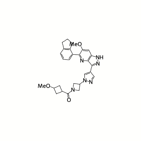 COc1cc2[nH]nc(-c3cnn(C4CN(C(=O)C5CC(OC)C5)C4)c3)c2nc1-c1cccc2c1CCC2